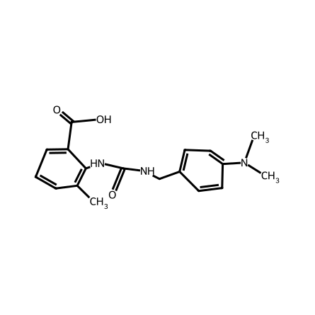 Cc1cccc(C(=O)O)c1NC(=O)NCc1ccc(N(C)C)cc1